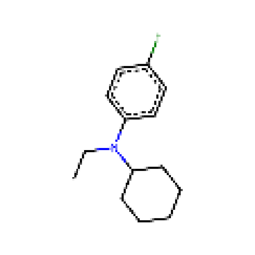 CCN(c1ccc(F)cc1)C1CCCCC1